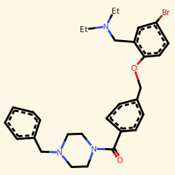 CCN(CC)Cc1cc(Br)ccc1OCc1ccc(C(=O)N2CCN(Cc3ccccc3)CC2)cc1